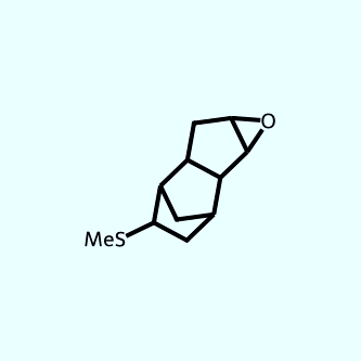 CSC1CC2CC1C1CC3OC3C21